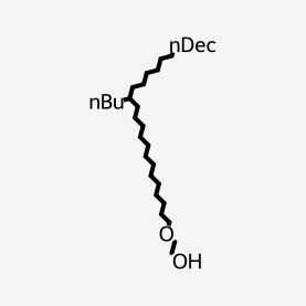 CCCCCCCCCCCCCCCCC(CCCC)CCCCCCCCCCCCCOCCO